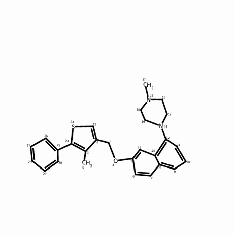 Cc1c(COc2ccc3cccc(N4CCN(C)CC4)c3c2)csc1-c1ccccc1